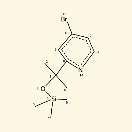 CC(C)(O[Si](C)(C)C)c1cc(Br)ccn1